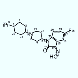 CC(C)C1CCC(N2CCC(N3C(=O)C(=NO)c4cc(F)ccc43)CC2)CC1